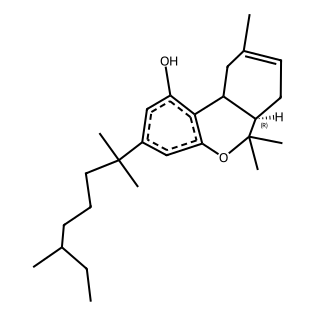 CCC(C)CCCC(C)(C)c1cc(O)c2c(c1)OC(C)(C)[C@@H]1CC=C(C)CC21